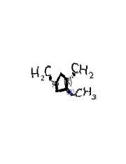 C=C[C@H]1C/C(=C/C)[C@@H](C=C)C1